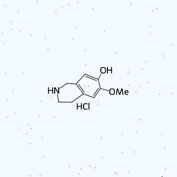 COc1cc2c(cc1O)CNCC2.Cl